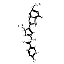 COc1cc(F)c2[nH]c(-c3cc(NC(=O)c4ccc(Cl)nc4)nn3C)nc2c1